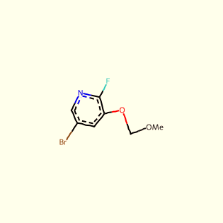 COCOc1cc(Br)cnc1F